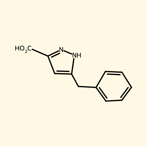 O=C(O)c1cc(Cc2ccccc2)[nH]n1